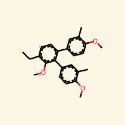 CCc1[c]cc(-c2ccc(OC)c(C)c2)c(-c2ccc(OC)c(C)c2)c1OC